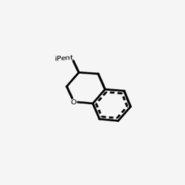 CCCC(C)C1COc2ccccc2C1